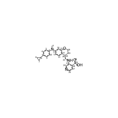 CN(c1ccc(C2CC2)cc1)c1ccc2c(c1)OCC[C@H]2CNc1cnccc1C(=O)O